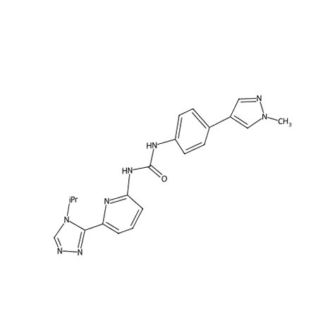 CC(C)n1cnnc1-c1cccc(NC(=O)Nc2ccc(-c3cnn(C)c3)cc2)n1